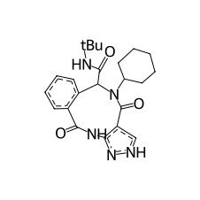 CC(C)(C)NC(=O)C1c2ccccc2C(=O)Nc2n[nH]cc2C(=O)N1C1CCCCC1